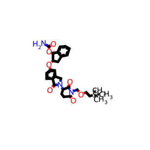 C[Si](C)(C)CCOCN1C(=O)CCC(N2Cc3cc(OC4Cc5ccccc5[C@@H]4OC(N)=O)ccc3C2=O)C1=O